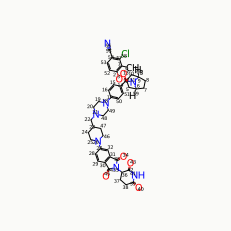 Cc1c(O[C@H]2C[C@H]3CC[C@@H](C2)N3C(=O)c2ccc(N3CCN(CC4CCN(c5ccc6c(c5)C(=O)N(C5CCC(=O)NC5=O)C6=O)CC4)CC3)cc2)ccc(C#N)c1Cl